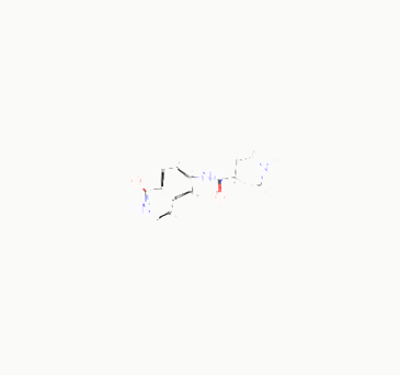 CN1CCC(C(=O)Nc2ccc3c(=O)[nH]ccc3c2)CC1